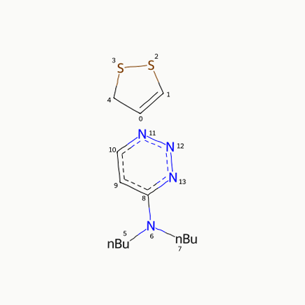 C1=CSSC1.CCCCN(CCCC)c1ccnnn1